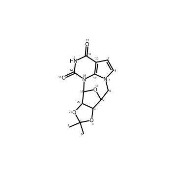 CC1(C)OC2C3Cn4ccc5c(=O)[nH]c(=O)n(c54)C(O3)C2O1